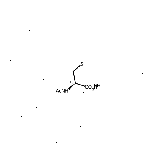 CC(=O)N[C@@H](CS)C(=O)O.N